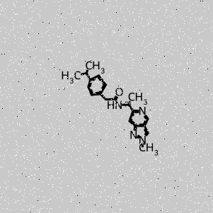 CC(C)c1ccc(CC(=O)N[C@H](C)c2cc3nn(C)cc3cn2)cc1